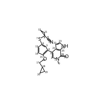 Cn1cc(-c2cc(SC3(C#N)CC3)ccc2OCC2CC2)c2cc[nH]c2c1=O